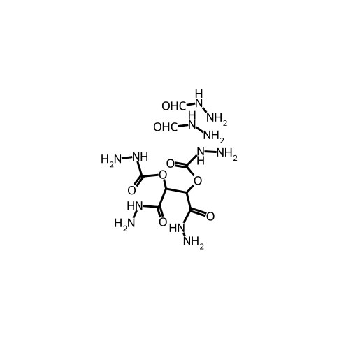 NNC(=O)OC(C(=O)NN)C(OC(=O)NN)C(=O)NN.NNC=O.NNC=O